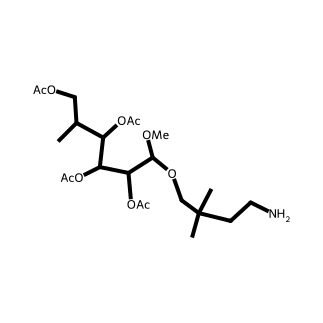 COC(OCC(C)(C)CCN)C(OC(C)=O)C(OC(C)=O)C(OC(C)=O)C(C)COC(C)=O